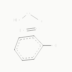 C=O.CO[SiH3].Oc1ccccc1